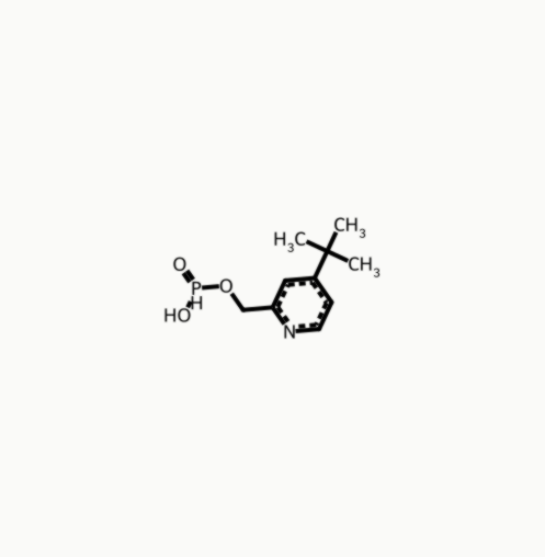 CC(C)(C)c1ccnc(CO[PH](=O)O)c1